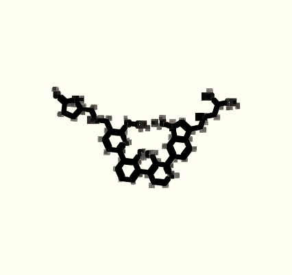 COc1nc(-c2cccc(-c3ccnc(-c4ccc5c(CNCC(C)O)cn(C)c5c4)c3Cl)c2Cl)ccc1CNC[C@H]1CCC(=O)N1